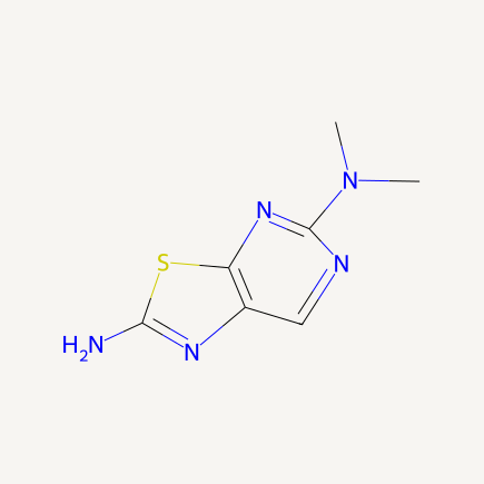 CN(C)c1ncc2nc(N)sc2n1